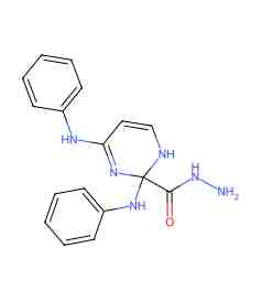 NNC(=O)C1(Nc2ccccc2)N=C(Nc2ccccc2)C=CN1